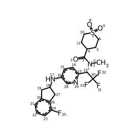 CN(C(=O)C1CCS(=O)(=O)CC1)[C@@H](c1ccc(NC2Cc3cccc(F)c3C2)cn1)C(F)(F)F